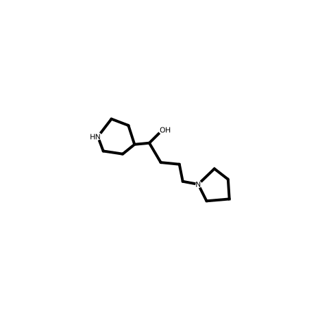 OC(CCCN1CCCC1)C1CCNCC1